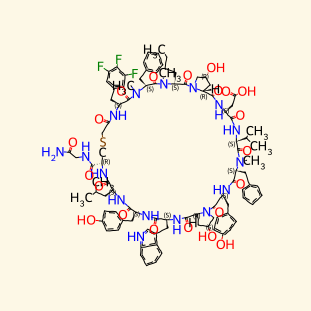 CCCC[C@H]1C(=O)N2C[C@H](O)C[C@@H]2C(=O)N[C@@H](CC(=O)O)C(=O)N[C@@H](C(C)C)C(=O)N(C)[C@@H](Cc2ccccc2)C(=O)N[C@@H](Cc2ccc(O)cc2)C(=O)N2C[C@@H](O)C[C@@H]2C(=O)N[C@@H](Cc2c[nH]c3ccccc23)C(=O)N[C@@H](Cc2ccc(O)cc2)C(=O)N[C@@H](CC(C)C)C(=O)N[C@H](C(=O)NCC(N)=O)CSCC(=O)N[C@@H](Cc2cc(F)c(F)c(F)c2)C(=O)N(C)[C@@H](Cc2ccccc2)C(=O)N1C